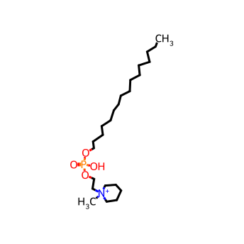 CCCCCCCCCCCCCCCCOP(=O)(O)OCC[N+]1(C)CCCCC1